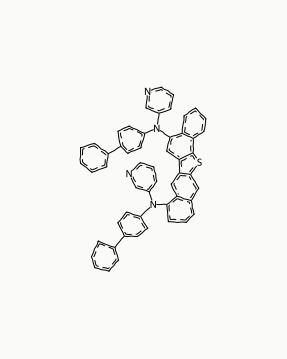 c1ccc(-c2ccc(N(c3cccnc3)c3cccc4cc5sc6c7ccccc7c(N(c7ccc(-c8ccccc8)cc7)c7cccnc7)cc6c5cc34)cc2)cc1